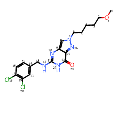 COCCCCCn1cc2nc(NCc3ccc(Cl)c(Cl)c3)[nH]c(=O)c2n1